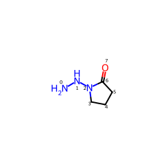 NNN1CCCC1=O